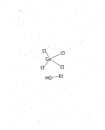 CCO.[Cl][Ge]([Cl])([Cl])[Cl]